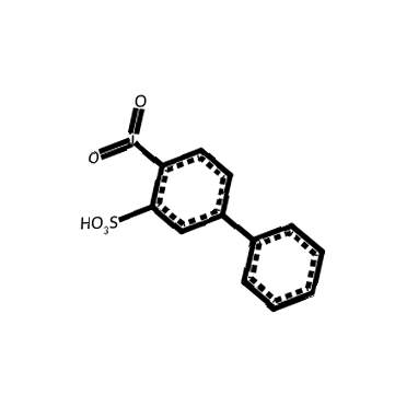 O=I(=O)c1ccc(-c2ccccc2)cc1S(=O)(=O)O